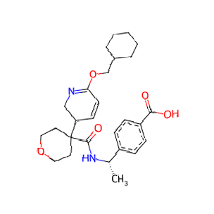 C[C@H](NC(=O)C1(C2C=CC(OCC3CCCCC3)=NC2)CCOCC1)c1ccc(C(=O)O)cc1